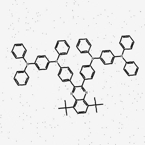 CC(C)(C)c1ccc(C(C)(C)C)c2nc(-c3ccc(N(c4ccccc4)c4ccc(N(c5ccccc5)c5ccccc5)cc4)cc3)c(-c3ccc(N(c4ccccc4)c4ccc(N(c5ccccc5)c5ccccc5)cc4)cc3)nc12